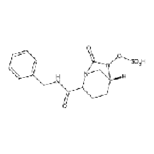 O=C(NCc1ccccc1)C1CC[C@@H]2CN1C(=O)N2OS(=O)(=O)O